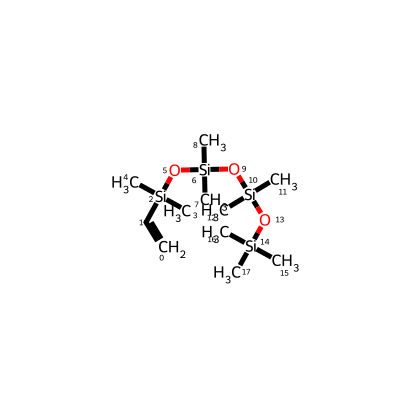 C=C[Si](C)(C)O[Si](C)(C)O[Si](C)(C)O[Si](C)(C)C